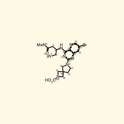 CNC(=O)CC(CC(C)C)Nc1nc(N2CCC3(CN(C(=O)O)C3)C2)nc2cc(Br)cnc12